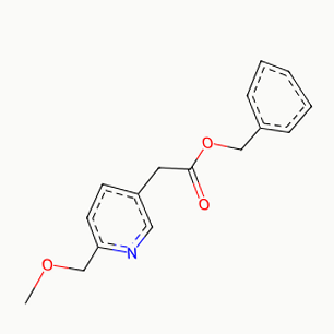 COCc1ccc(CC(=O)OCc2ccccc2)cn1